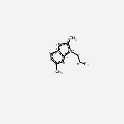 Cc1ccc2sc(C)[n+](CCF)c2c1